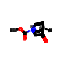 CC(C)(C)OC(=O)[N@+]12C=C[C@H](C1)C(=O)C2